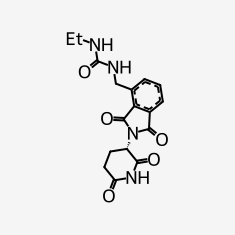 CCNC(=O)NCc1cccc2c1C(=O)N([C@H]1CCC(=O)NC1=O)C2=O